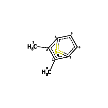 Cc1c(C)c2ccc1s2